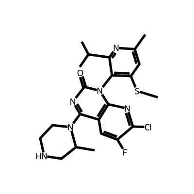 CSc1cc(C)nc(C(C)C)c1-n1c(=O)nc(N2CCNCC2C)c2cc(F)c(Cl)nc21